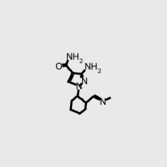 CN=CC1CCCCC1n1cc(C(N)=O)c(N)n1